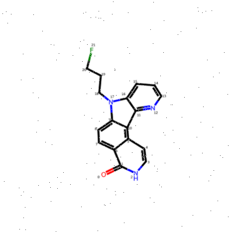 O=c1[nH]ccc2c1ccc1c2c2ncccc2n1CCCF